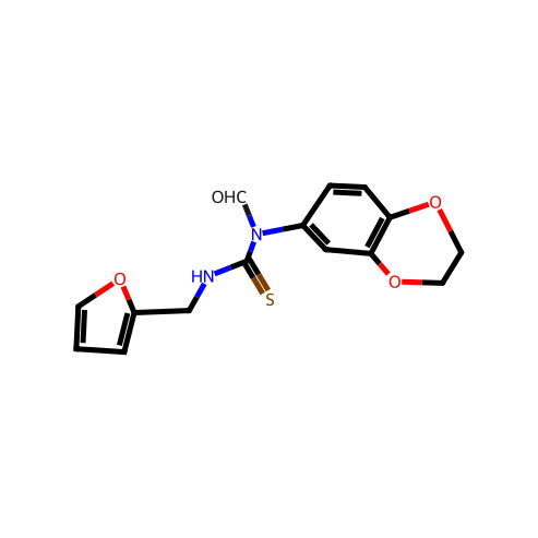 O=CN(C(=S)NCc1ccco1)c1ccc2c(c1)OCCO2